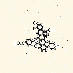 Cl.O=C(O)c1ccc(NC(=O)C2c3cccc(N4CCNCC4=O)c3CCN2C(=O)/C=C/c2c(-n3cnnn3)ccc(Cl)c2F)cc1